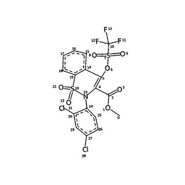 COC(=O)C1=C(OS(=O)(=O)C(F)(F)F)c2ccccc2S(=O)(=O)N1c1ccc(Cl)cc1Cl